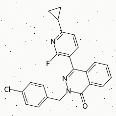 O=c1c2ccccc2c(-c2ccc(C3CC3)nc2F)nn1Cc1ccc(Cl)cc1